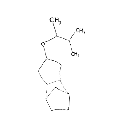 CC(C)C(C)OC1CC2C3CCC(C3)C2C1